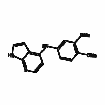 COc1ccc(Nc2ccnc3[nH]ccc23)cc1OC